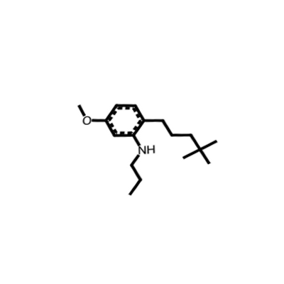 CCCNc1cc(OC)ccc1CCCC(C)(C)C